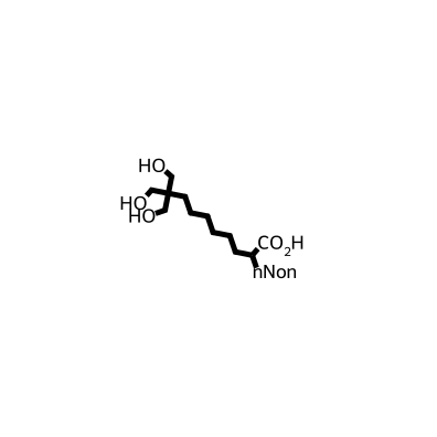 CCCCCCCCCC(CCCCCCC(CO)(CO)CO)C(=O)O